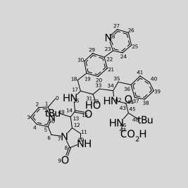 Cc1cccc(CN2C(=O)NCC2C(C(=O)NC(Cc2ccc(-c3ccccn3)cc2)C(O)CC(Cc2ccccc2)NC(=O)C(NC(=O)O)C(C)(C)C)C(C)(C)C)n1